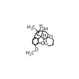 COc1ccc2c3c1O[C@H]1C4(CCC5(O)[C@@H](C2)N(C)CC[C@]315)OCCCO4